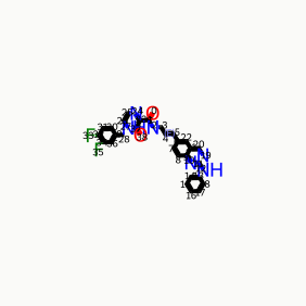 O=C(NC/C=C/c1ccc2nc(Nc3ccccc3)ncc2c1)c1nccn(Cc2ccc(F)c(F)c2)c1=O